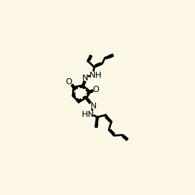 C=C/C=C\C=C/C(=C)N/N=c1\ccc(=O)/c(=N/N/C(C=C)=C/C=C)c1=O